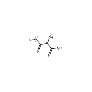 CNC(=O)C(O)C(=O)O